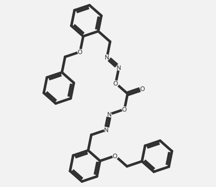 O=C(ON=NCc1ccccc1OCc1ccccc1)ON=NCc1ccccc1OCc1ccccc1